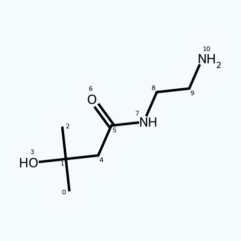 CC(C)(O)CC(=O)NCCN